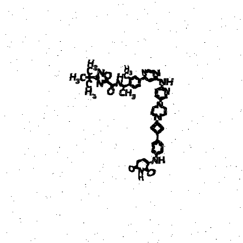 Cc1cc(-c2cc(Nc3ccc(N4CCN([C@H]5C[C@H](c6ccc(N[C@H]7CCC(=O)NC7=O)cc6)C5)CC4)cn3)ncn2)ccc1[C@@H](C)NC(=O)c1nc(C(C)(C)C)no1